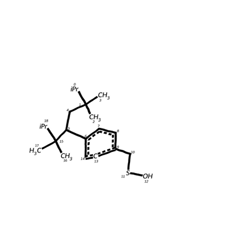 CC(C)C(C)(C)CC(c1ccc(CSO)cc1)C(C)(C)C(C)C